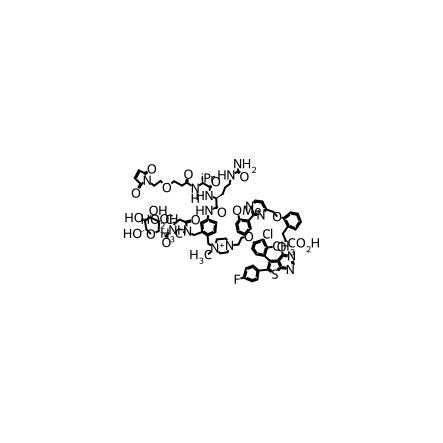 COc1ccccc1-c1nccc(COc2ccccc2C[C@@H](Oc2ncnc3sc(-c4ccc(F)cc4)c(-c4ccc(OCCN5CC[N+](C)(Cc6ccc(NC(=O)[C@H](CCCNC(N)=O)NC(=O)[C@@H](NC(=O)CCOCCN7C(=O)C=CC7=O)C(C)C)cc6CN(C)C(=O)C[C@H](NC(=O)[C@@H]6O[C@H](O)[C@@H](O)[C@H](O)[C@H]6O)C(=O)O)CC5)c(Cl)c4C)c23)C(=O)O)n1